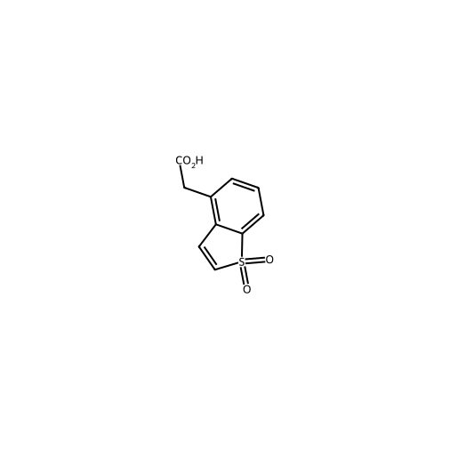 O=C(O)Cc1cccc2c1C=CS2(=O)=O